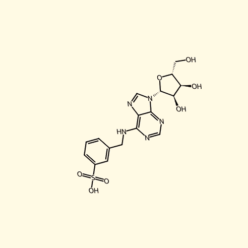 O=S(=O)(O)c1cccc(CNc2ncnc3c2ncn3[C@@H]2O[C@H](CO)[C@@H](O)[C@H]2O)c1